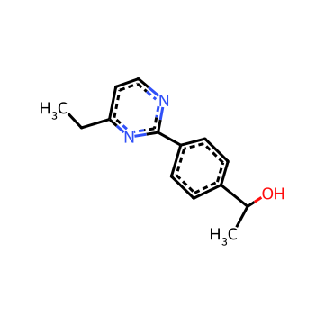 CCc1ccnc(-c2ccc(C(C)O)cc2)n1